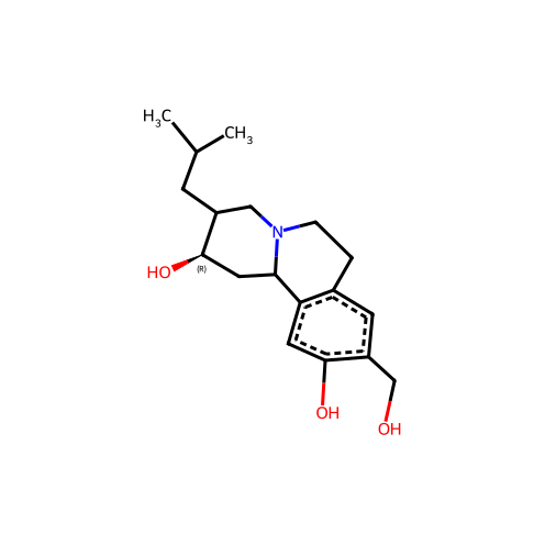 CC(C)CC1CN2CCc3cc(CO)c(O)cc3C2C[C@H]1O